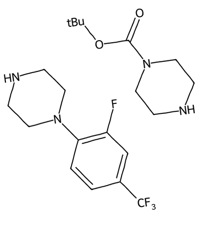 CC(C)(C)OC(=O)N1CCNCC1.Fc1cc(C(F)(F)F)ccc1N1CCNCC1